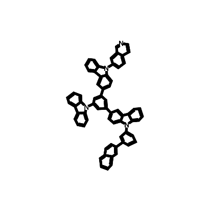 c1cc(-c2ccc3ccccc3c2)cc(-n2c3ccccc3c3cc(-c4cc(-c5ccc6c(c5)c5ccccc5n6-c5ccc6ccncc6c5)cc(-n5c6ccccc6c6ccccc65)c4)ccc32)c1